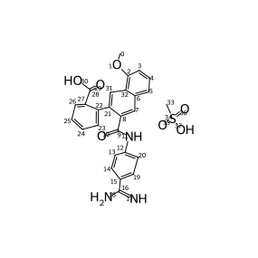 COc1cccc2cc(C(=O)Nc3ccc(C(=N)N)cc3)c(-c3ccccc3C(=O)O)cc12.CS(=O)(=O)O